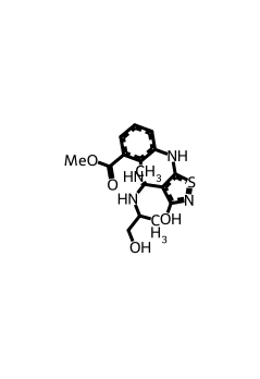 COC(=O)c1cccc(Nc2snc(O)c2C(=N)NC(C)CO)c1C